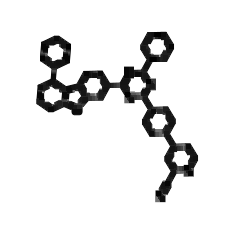 N#Cc1cc(-c2ccc(-c3nc(-c4ccccc4)nc(-c4ccc5c(c4)oc4cccc(-c6ccccc6)c45)n3)cc2)ccn1